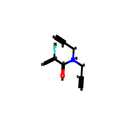 C#CCN(CC#C)C(=O)C(=C)F